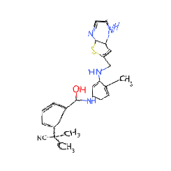 CC1=CCC(NC(O)C2C=CC=C(C(C)(C)C#N)C2)C=C1NCC1=CC2NCC=NC2S1